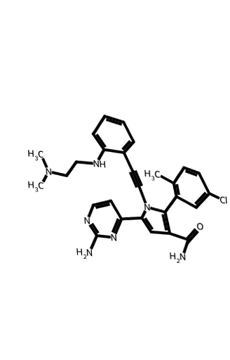 Cc1ccc(Cl)cc1-c1c(C(N)=O)cc(-c2ccnc(N)n2)n1C#Cc1ccccc1NCCN(C)C